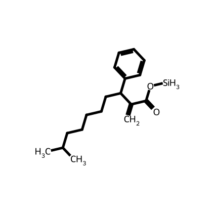 C=C(C(=O)O[SiH3])C(CCCCCC(C)C)c1ccccc1